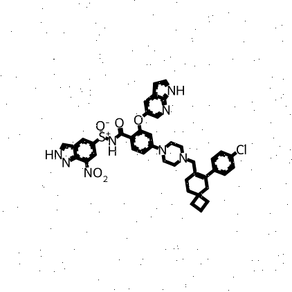 O=C(N[S+]([O-])c1cc([N+](=O)[O-])c2n[nH]cc2c1)c1ccc(N2CCN(CC3=C(c4ccc(Cl)cc4)CC4(CCC4)CC3)CC2)cc1Oc1cnc2[nH]ccc2c1